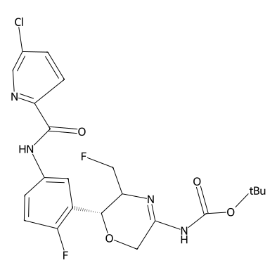 CC(C)(C)OC(=O)NC1=NC(CF)[C@@H](c2cc(NC(=O)c3ccc(Cl)cn3)ccc2F)OC1